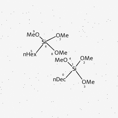 CCCCCCCCCC[Si](OC)(OC)OC.CCCCCC[Si](OC)(OC)OC